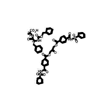 C[C@H](NC(=O)[C@H](Cc1ccccc1)NC(=O)OCc1ccccc1)C(=O)O.O=C(COC(=O)c1ccc(C(=O)NS(=O)(=O)c2ccccc2)cc1)COC(=O)c1ccc(C(=O)NS(=O)(=O)c2ccccc2)cc1